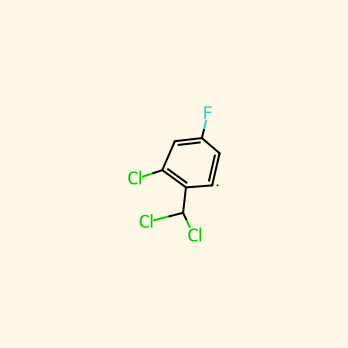 Fc1c[c]c(C(Cl)Cl)c(Cl)c1